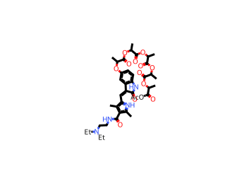 CCN(CC)CCNC(=O)c1c(C)[nH]c(/C=C2\C(=O)Nc3ccc(OC(C)C(=O)OC(C)C(=O)OC(C)C(=O)OC(C)C(=O)OC(C)C(=O)OC(C)=O)cc32)c1C